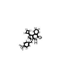 CN(C)c1ccc(Cn2nc(C3CCC3)c3c4c(c(=O)[nH]c32)CCCC4)cc1